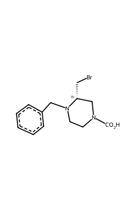 O=C(O)N1CCN(Cc2ccccc2)[C@H](CBr)C1